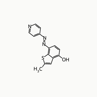 Cc1cc2c(O)ccc(/N=N/c3ccncc3)c2s1